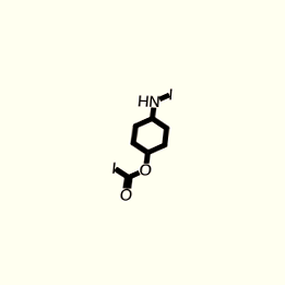 O=C(I)OC1CCC(NI)CC1